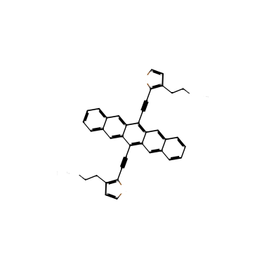 CCCCCCCCCCCCc1ccsc1C#Cc1c2cc3ccccc3cc2c(C#Cc2sccc2CCCCCCCCCCCC)c2cc3ccccc3cc12